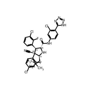 CC(C)(C)C[C@@H]1N[C@@H](C(=O)Nc2ccc(-c3nnn[nH]3)c(Cl)c2)[C@H](c2cccc(Cl)c2F)[C@@]1(C#N)c1ccc(Cl)cc1F